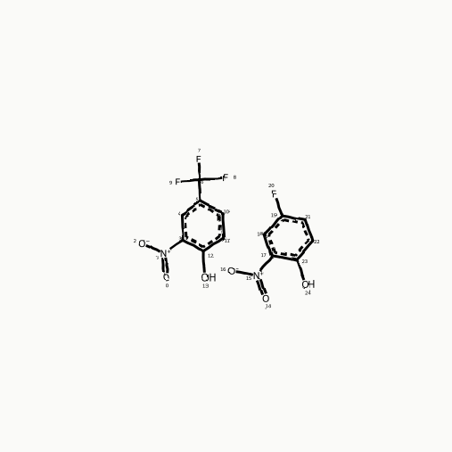 O=[N+]([O-])c1cc(C(F)(F)F)ccc1O.O=[N+]([O-])c1cc(F)ccc1O